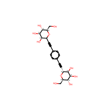 OC[C@H]1O[C@H](C#Cc2ccc(C#CC3O[C@H](CO)[C@@H](O)[C@H](O)[C@@H]3O)cc2)[C@@H](O)[C@@H](O)[C@@H]1O